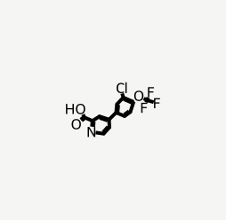 O=C(O)c1cc(-c2ccc(OC(F)(F)F)c(Cl)c2)ccn1